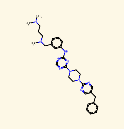 CN(C)CCCN(C)Cc1cccc(Nc2ncnc(N3CCN(c4ncc(Cc5ccccc5)cn4)CC3)n2)c1